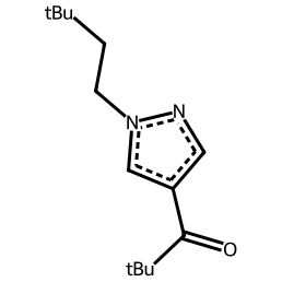 CC(C)(C)CCn1cc(C(=O)C(C)(C)C)cn1